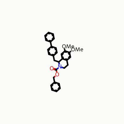 COc1cc2c(cc1OC)C(Cc1ccc(-c3ccccc3)cc1)N(C(=O)OCc1ccccc1)CC2